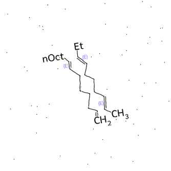 C/C=C/CCC/C=C/CC.C=CCCCC/C=C/CCCCCCCC